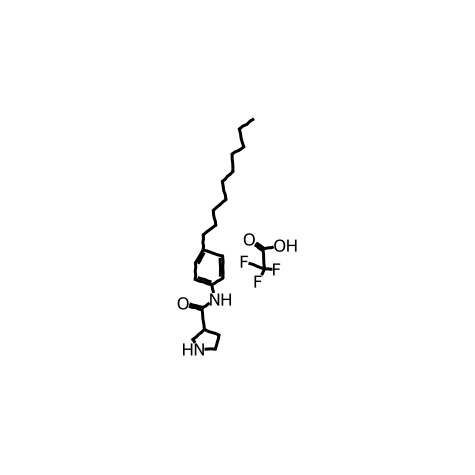 CCCCCCCCCCc1ccc(NC(=O)C2CCNC2)cc1.O=C(O)C(F)(F)F